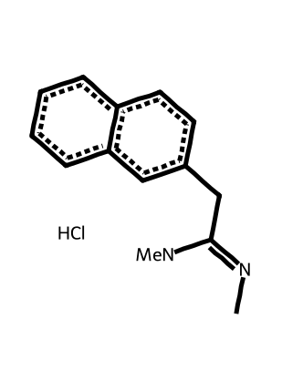 C/N=C(/Cc1ccc2ccccc2c1)NC.Cl